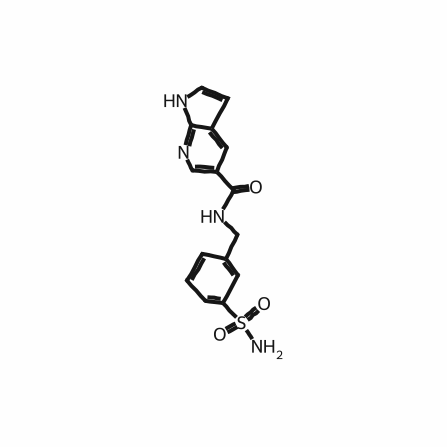 NS(=O)(=O)c1cccc(CNC(=O)c2cnc3[nH]ccc3c2)c1